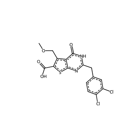 COCc1c(C(=O)O)sc2nc(Cc3ccc(Cl)c(Cl)c3)[nH]c(=O)c12